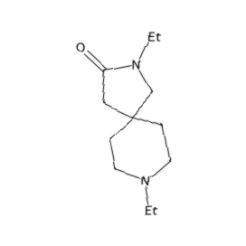 CCN1CCC2(CC1)CC(=O)N(CC)C2